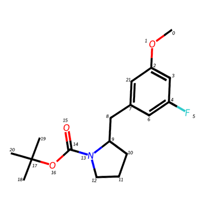 COc1cc(F)cc(CC2CCCN2C(=O)OC(C)(C)C)c1